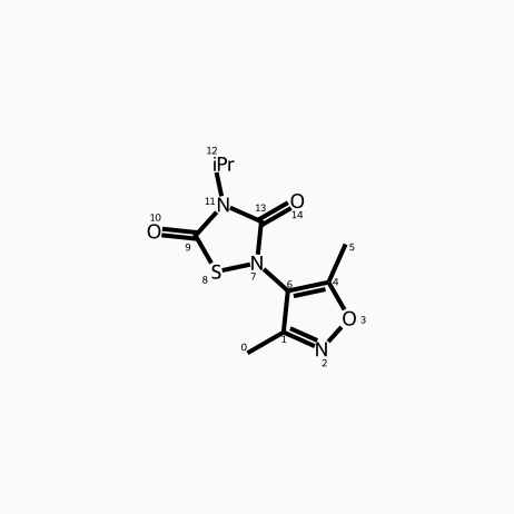 Cc1noc(C)c1-n1sc(=O)n(C(C)C)c1=O